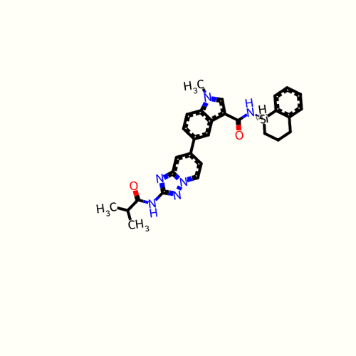 CC(C)C(=O)Nc1nc2cc(-c3ccc4c(c3)c(C(=O)N[Si@H]3CCCc5ccccc53)cn4C)ccn2n1